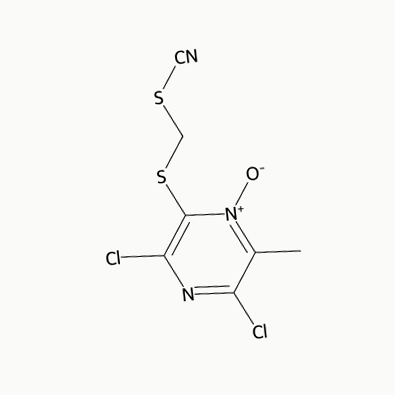 Cc1c(Cl)nc(Cl)c(SCSC#N)[n+]1[O-]